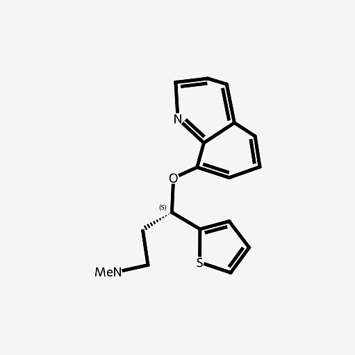 CNCC[C@H](Oc1cccc2cccnc12)c1cccs1